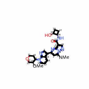 CNc1cc(-c2cnc3n(C4CCOC[C@@H]4OC)cccc2-3)nc2c(C(=O)N[C@H]3CC[C@H]3O)cnn12